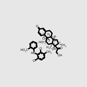 C[C@H]1C[C@H]2[C@@H]3CCC4=CC(=O)C=C[C@]4(C)[C@@]3(F)[C@@H](O)C[C@]2(C)[C@@]1(O)C(=O)CO.Cc1ccc(Cl)c(Nc2ccccc2C(=O)O)c1Cl